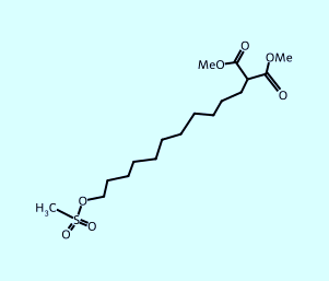 COC(=O)C(CCCCCCCCCCCOS(C)(=O)=O)C(=O)OC